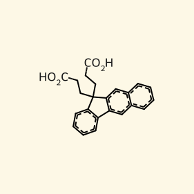 O=C(O)CCC1(CCC(=O)O)c2ccccc2-c2cc3ccccc3cc21